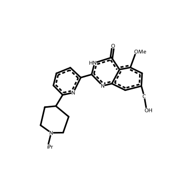 COc1cc(CO)cc2nc(-c3cccc(C4CCN(C(C)C)CC4)n3)[nH]c(=O)c12